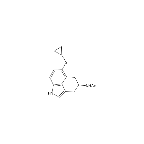 CC(=O)NC1Cc2c[nH]c3ccc(SC4CC4)c(c23)C1